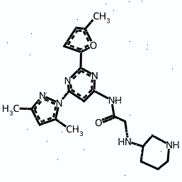 Cc1cc(C)n(-c2cc(NC(=O)CNC3CCCNC3)nc(-c3ccc(C)o3)n2)n1